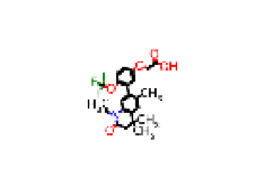 CCN1C(=O)CC(C)(C)c2cc(C)c(-c3cc(OCC(=O)O)ccc3OC(F)(F)F)cc21